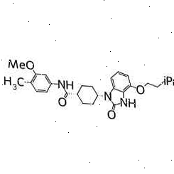 COc1cc(NC(=O)[C@H]2CC[C@@H](n3c(=O)[nH]c4c(OCCC(C)C)cccc43)CC2)ccc1C